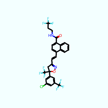 O=C(NCCC(F)(F)F)c1ccc(C=CC2=NOC(c3cc(Cl)cc(C(F)(F)F)c3)(C(F)(F)F)C2)c2ccccc12